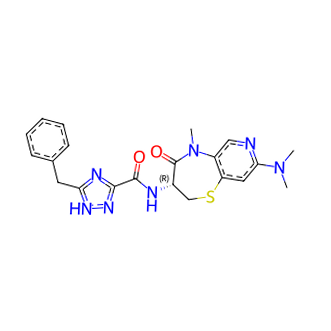 CN(C)c1cc2c(cn1)N(C)C(=O)[C@@H](NC(=O)c1n[nH]c(Cc3ccccc3)n1)CS2